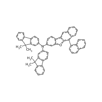 CC1(C)c2ccccc2-c2ccc(N(c3ccc4c(c3)C(C)(C)c3ccccc3-4)c3ccc4c(c3)oc3c(-c5cccc6ccccc56)c5ccccc5cc34)cc21